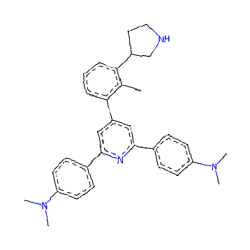 Cc1c(-c2cc(-c3ccc(N(C)C)cc3)nc(-c3ccc(N(C)C)cc3)c2)cccc1C1CCNC1